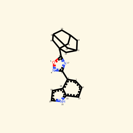 c1cc(-c2noc(C34CC5CC(CC(C5)C3)C4)n2)c2cc[nH]c2c1